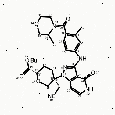 Cc1cc(Nc2nn([C@]3(CC#N)CC[C@@H](C(=O)OCC(C)C)OC3)c3cc[nH]c(=O)c23)ccc1C(=O)N1CCOCC1C